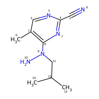 Cc1cnc(C#N)nc1N(N)CC(C)C